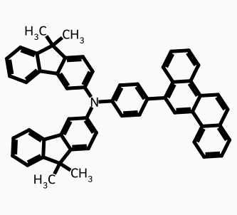 CC1(C)c2ccccc2-c2cc(N(c3ccc(-c4cc5c6ccccc6ccc5c5ccccc45)cc3)c3ccc4c(c3)-c3ccccc3C4(C)C)ccc21